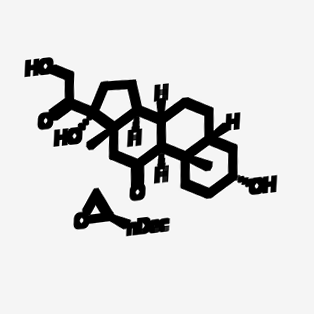 CCCCCCCCCC[C@@H]1CO1.C[C@]12CC[C@@H](O)C[C@H]1CC[C@@H]1[C@@H]2C(=O)C[C@@]2(C)[C@H]1CC[C@]2(O)C(=O)CO